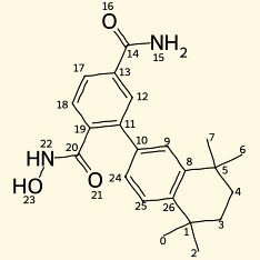 CC1(C)CCC(C)(C)c2cc(-c3cc(C(N)=O)ccc3C(=O)NO)ccc21